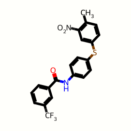 Cc1ccc(Sc2ccc(NC(=O)c3cccc(C(F)(F)F)c3)cc2)cc1[N+](=O)[O-]